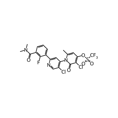 Cc1cc(OS(=O)(=O)C(F)(F)F)c(Cl)c(=O)n1-c1cc(-c2cccc(C(=O)N(C)C)c2F)ncc1Cl